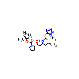 CCCC(CC(=O)[C@@H]1CCCN1C(=O)OC(C)(C)C)NC(=S)Oc1nnnn1C